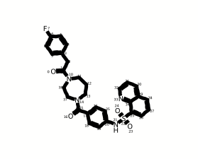 O=C(Cc1ccc(F)cc1)N1CCCN(C(=O)c2ccc(NS(=O)(=O)c3cccc4cccnc34)cc2)CC1